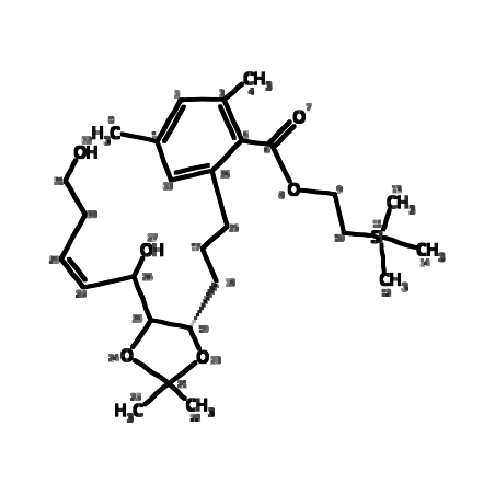 Cc1cc(C)c(C(=O)OCC[Si](C)(C)C)c(CCC[C@@H]2OC(C)(C)OC2C(O)/C=C\CCO)c1